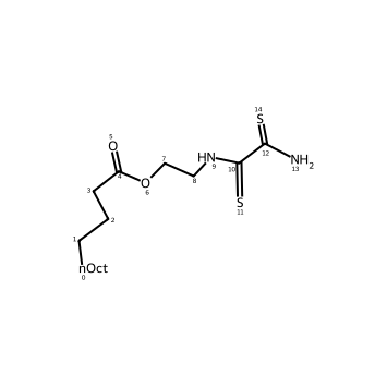 CCCCCCCCCCCC(=O)OCCNC(=S)C(N)=S